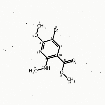 CNc1nc(OC)c(Br)cc1C(=O)OC